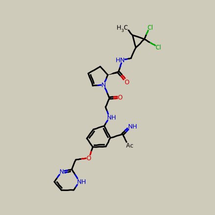 CC(=O)C(=N)c1cc(OCC2=NC=CCN2)ccc1NCC(=O)N1C=CC[C@H]1C(=O)NCC1C(C)C1(Cl)Cl